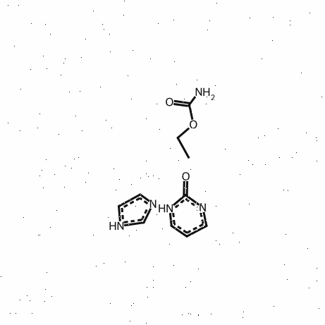 CCOC(N)=O.O=c1nccc[nH]1.c1c[nH]cn1